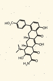 CN(C)[C@@H]1C(O)=C(C(N)=O)C(=O)C2C(O)=C3C(=O)c4c(O)ccc(-c5ccc(C(=O)O)cc5)c4C[C@H]3C[C@H]21